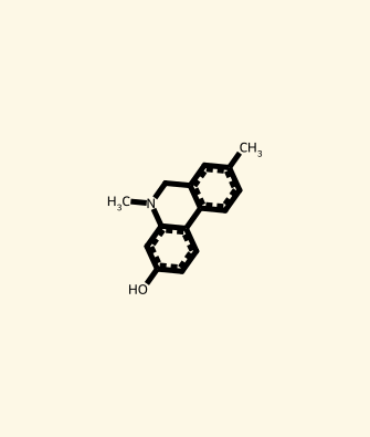 Cc1ccc2c(c1)CN(C)c1cc(O)ccc1-2